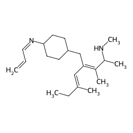 C=C/C=N\C1CCC(CC(/C=C(\C)CC)=C(/C)C(C)NC)CC1